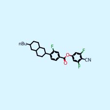 CCCCC1CCC2CC(c3ccc(C(=O)Oc4cc(F)c(C#N)c(F)c4)cc3F)CCC2C1